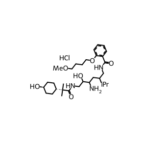 COCCCCOc1ccccc1C(=O)NCC(CC(N)C(O)CNC(=O)C(C)(C)[C@H]1CC[C@H](O)CC1)C(C)C.Cl